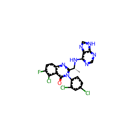 C[C@@H](Nc1ncnc2[nH]cnc12)c1nc2ccc(F)c(Cl)c2c(=O)n1-c1ccc(Cl)cc1Cl